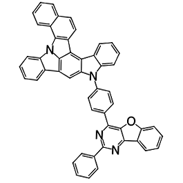 c1ccc(-c2nc(-c3ccc(-n4c5ccccc5c5c6c7ccc8ccccc8c7n7c8ccccc8c(cc54)c67)cc3)c3oc4ccccc4c3n2)cc1